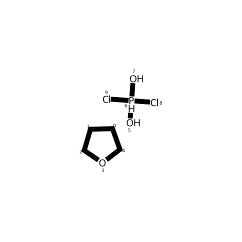 C1CCOC1.O[PH](O)(Cl)Cl